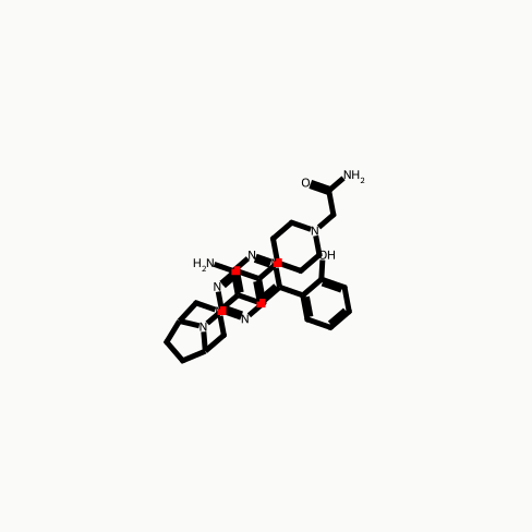 NC(=O)CN1CCC(c2cnc(N3C4CCC3CN(c3cc(-c5ccccc5O)nnc3N)C4)nc2)CC1